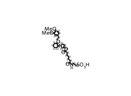 COc1ccc(CCO[C@H]2CCCC[C@@H]2N2CC[C@H](OC(=O)CCCCCC(=O)N(C)CCS(=O)(=O)O)C2)cc1OC